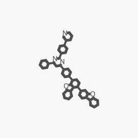 c1ccc(-c2cc(-c3ccc(-c4ccc(-c5ccc6c(c5)oc5ccccc56)c5c4oc4ccccc45)cc3)nc(-c3ccc(-c4cccnc4)cc3)n2)cc1